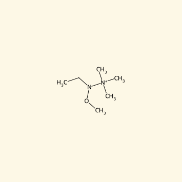 CCN(OC)[N+](C)(C)C